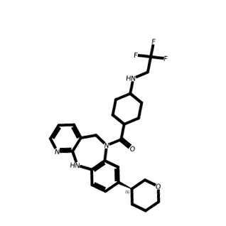 O=C(C1CCC(NCC(F)(F)F)CC1)N1Cc2cccnc2Nc2ccc([C@@H]3CCCOC3)cc21